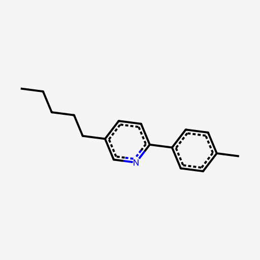 CCCCCc1ccc(-c2ccc(C)cc2)nc1